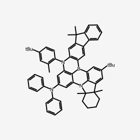 Cc1cc(C(C)(C)C)ccc1N1c2cc3c(cc2B2c4cc(C(C)(C)C)cc5c4N(c4cc(N(c6ccccc6)c6ccccc6)cc1c42)C1(C)CCCCC51C)-c1ccccc1C3(C)C